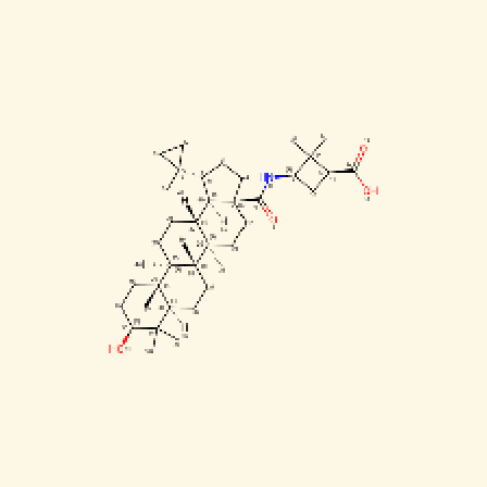 CC1([C@@H]2CC[C@]3(C(=O)N[C@@H]4C[C@H](C(=O)O)C4(C)C)CC[C@]4(C)[C@H](CC[C@@H]5[C@@]6(C)CC[C@H](O)C(C)(C)[C@@H]6CC[C@]54C)[C@@H]23)CC1